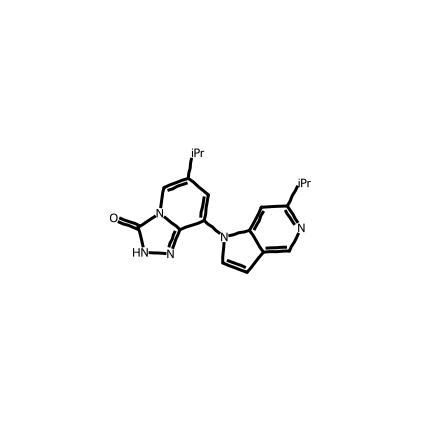 CC(C)c1cc(-n2ccc3cnc(C(C)C)cc32)c2n[nH]c(=O)n2c1